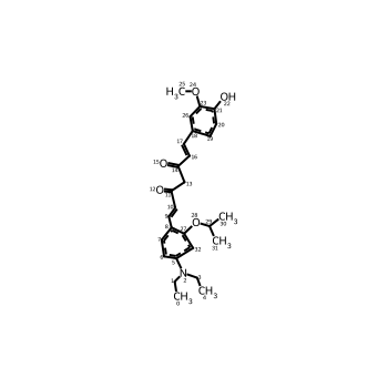 CCN(CC)c1ccc(C=CC(=O)CC(=O)C=Cc2ccc(O)c(OC)c2)c(OC(C)C)c1